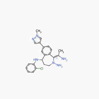 C/C(N)=C1\c2ccc(-c3cnn(C)c3)cc2C(Nc2ccccc2Cl)CCN1N